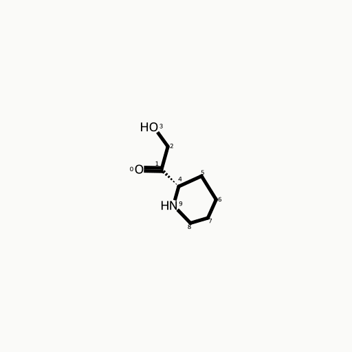 O=C(CO)[C@@H]1CCCCN1